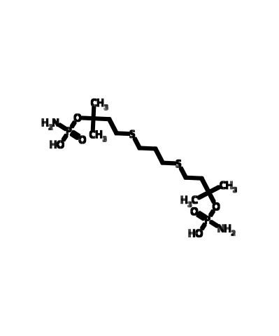 CC(C)(CCSCCCSCCC(C)(C)OP(N)(=O)O)OP(N)(=O)O